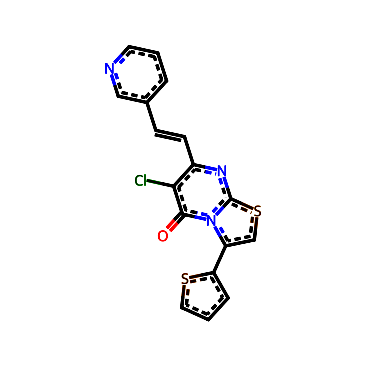 O=c1c(Cl)c(/C=C/c2cccnc2)nc2scc(-c3cccs3)n12